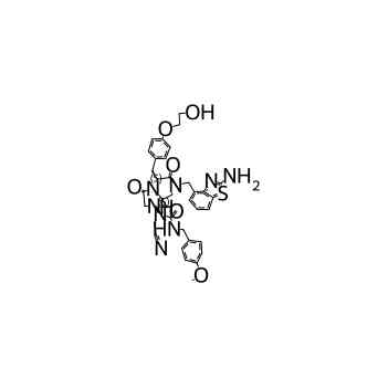 COc1ccc(CNC(=O)N(CC#N)N2CC(=O)N3[C@@H](Cc4ccc(OCCO)cc4)C(=O)N(Cc4cccc5sc(N)nc45)C[C@@H]32)cc1